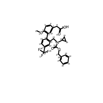 COc1ccc(CC(=O)O)cc1-c1ccc(C(F)(F)F)cc1CN(C(=O)OCc1ccccc1)C1CC1